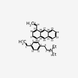 C=Cc1ccc(CCN(CC)CC)cc1.C=Cc1cccc2cc3ccccc3cc12